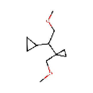 COC[C](C1CC1)C1(COC)CC1